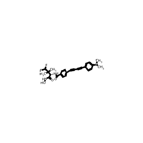 CN(C)c1ccc(C#CC#Cc2ccc(C(=O)N[C@H](C(=O)NO)C(C)(C)C(F)F)cc2)cc1